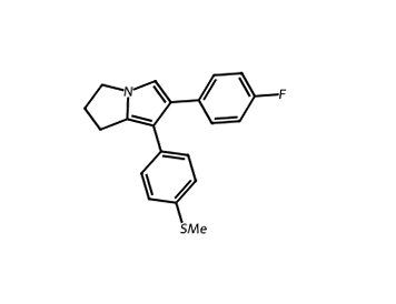 CSc1ccc(-c2c(-c3ccc(F)cc3)cn3c2CCC3)cc1